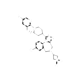 COc1cc(F)cnc1N1CCC(c2nnc3n2-c2ccc(Cl)cc2CN(C2CS(=O)(=O)C2)C3)CC1